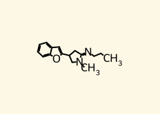 CCCN=C1CC(c2cc3ccccc3o2)CN1C